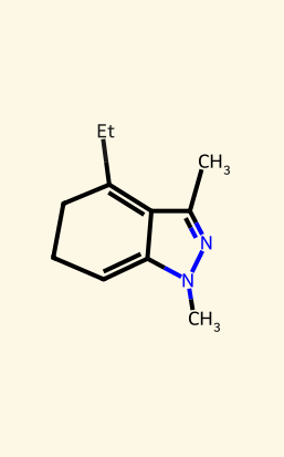 CCC1=c2c(C)nn(C)c2=CCC1